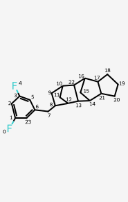 Fc1cc(F)cc(CC2CC3CC2C2C4CC(C5CCCC54)C32)c1